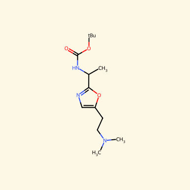 CC(NC(=O)OC(C)(C)C)c1ncc(CCN(C)C)o1